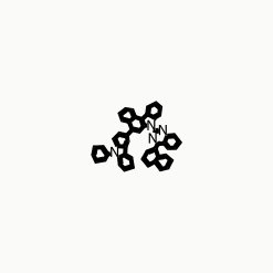 c1ccc(-n2c3ccccc3c3cc(-c4cc5c(c6ccccc46)c4ccccc4n5-c4nc(-c5cccc6ccccc56)c5ccccc5n4)ccc32)cc1